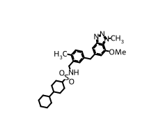 COc1cc(Cc2ccc(C)c(CNS(=O)(=O)C3CCC(C4CCCCC4)CC3)c2)cc2nnn(C)c12